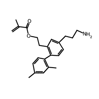 C=C(C)C(=O)OCCc1cc(CCCN)ccc1-c1ccc(C)cc1C